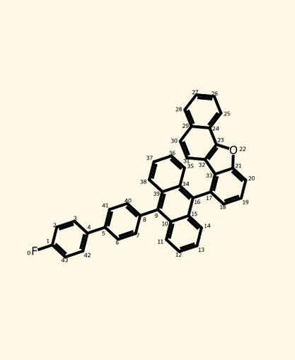 Fc1ccc(-c2ccc(-c3c4ccccc4c(-c4cccc5oc6c7ccccc7ccc6c45)c4ccccc34)cc2)cc1